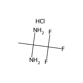 CC(N)(N)C(F)(F)F.Cl